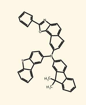 CC1(C)c2ccccc2-c2ccc(N(c3ccc4sc5ccccc5c4c3)c3ccc4ccc5nc(-c6ccccc6)oc5c4c3)cc21